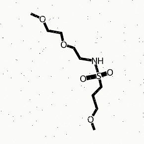 COCCCS(=O)(=O)NCCOCCOC